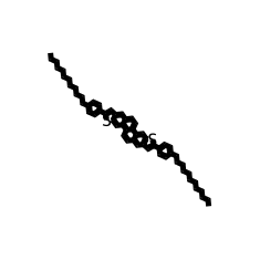 CCCCCCCCCCCCc1ccc(-c2cc3cc4ccc5c6cc7sc(-c8ccc(CCCCCCCCCCCC)cc8)cc7cc6ccc5c4cc3s2)cc1